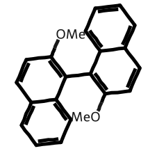 COc1ccc2ccccc2c1-c1c(OC)ccc2ccccc12